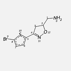 NCC1CC(c2ccc(Br)s2)=NO1